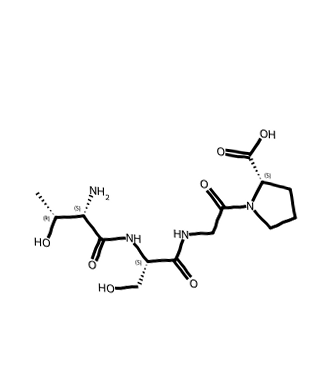 C[C@@H](O)[C@H](N)C(=O)N[C@@H](CO)C(=O)NCC(=O)N1CCC[C@H]1C(=O)O